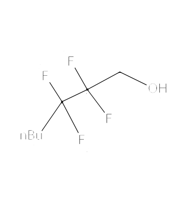 CCCCC(F)(F)C(F)(F)CO